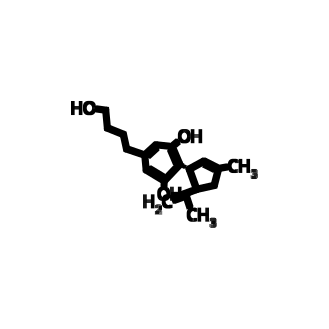 C=C(C)[C@@H]1CC(C)=C[C@H]1c1c(O)cc(CCCCO)cc1O